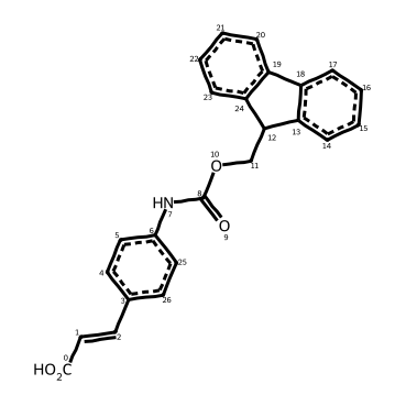 O=C(O)C=Cc1ccc(NC(=O)OCC2c3ccccc3-c3ccccc32)cc1